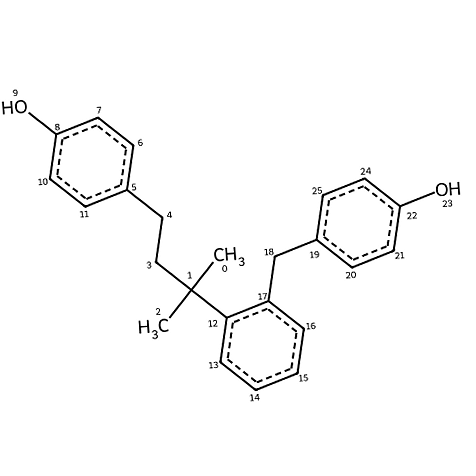 CC(C)(CCc1ccc(O)cc1)c1ccccc1Cc1ccc(O)cc1